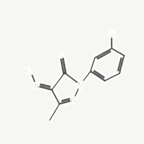 CC1=NN(c2cccc(Cl)c2)C(=O)C1=NO